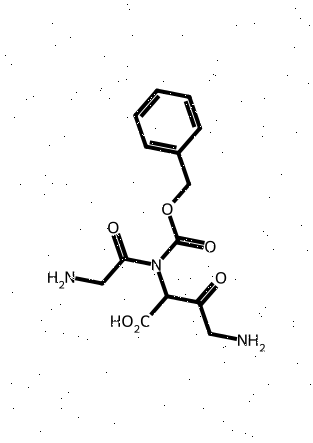 NCC(=O)C(C(=O)O)N(C(=O)CN)C(=O)OCc1ccccc1